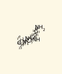 CC[C@@H]1CN(c2ccc(NC3CC4(CC(N)C4)C3)c(C)n2)C[C@@H](C)O1